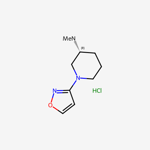 CN[C@@H]1CCCN(c2ccon2)C1.Cl